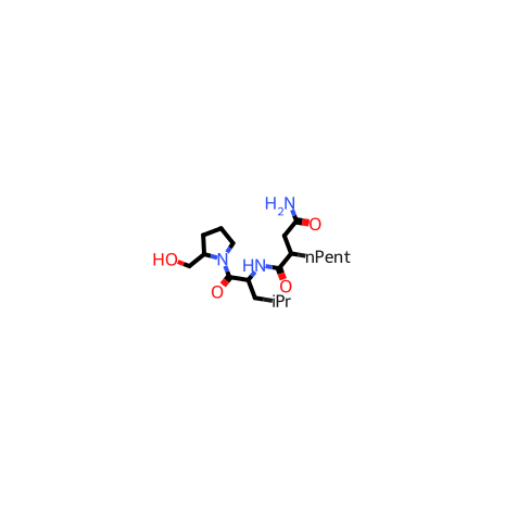 CCCCCC(CC(N)=O)C(=O)NC(CC(C)C)C(=O)N1CCCC1CO